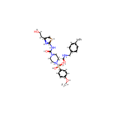 CCCc1ccc(CNC(=O)[C@H]2CN(C(=O)Nc3nc(CCO)cs3)CCN2S(=O)(=O)c2ccc(OC(F)(F)F)cc2)cc1